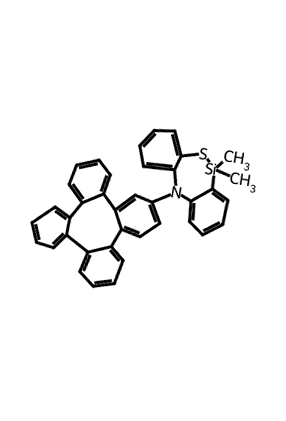 C[Si]1(C)Sc2ccccc2N(c2ccc3c(c2)-c2ccccc2-c2ccccc2-c2ccccc2-3)c2ccccc21